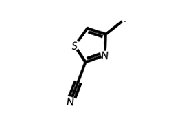 [CH2]c1csc(C#N)n1